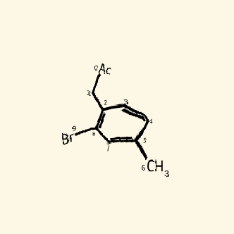 CC(=O)Cc1ccc(C)cc1Br